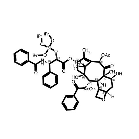 CC(=O)O[C@H]1C(=O)[C@@]2(C)[C@H]([C@H](OC(=O)c3ccccc3)[C@]3(O)C[C@H](OC(=O)[C@H](O[Si](OC(C)C)(OC(C)C)OC(C)C)[C@@H](NC(=O)c4ccccc4)c4ccccc4)C(C)=C1C3(C)C)[C@]1(OC(C)=O)CO[C@@H]1C[C@@H]2O